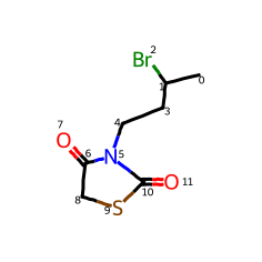 CC(Br)CCN1C(=O)CSC1=O